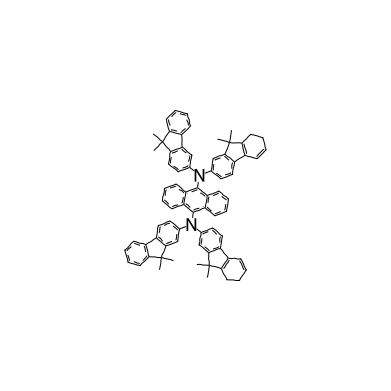 CC1(C)C2=C(C=CCC2)c2ccc(N(c3ccc4c(c3)-c3ccccc3C4(C)C)c3c4ccccc4c(N(c4ccc5c(c4)C(C)(C)C4=C5C=CCC4)c4ccc5c(c4)C(C)(C)c4ccccc4-5)c4ccccc34)cc21